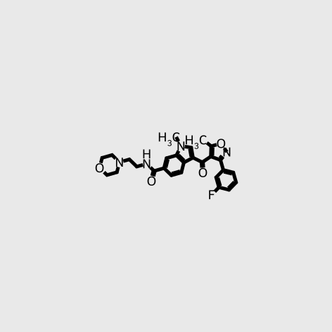 Cc1onc(-c2cccc(F)c2)c1C(=O)c1cn(C)c2cc(C(=O)NCCN3CCOCC3)ccc12